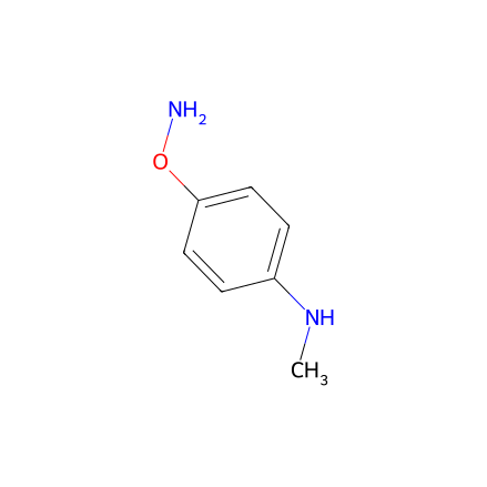 CNc1ccc(ON)cc1